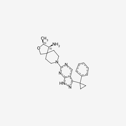 C[C@@H]1OCC2(CCN(c3ncc4c(C5(c6ccccc6)CC5)n[nH]c4n3)CC2)[C@@H]1N